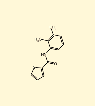 Cc1cccc(NC(=O)c2cccs2)c1C